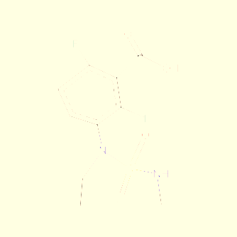 CCN(c1ccc(F)c(C(=O)O)c1F)S(=O)(=O)NC